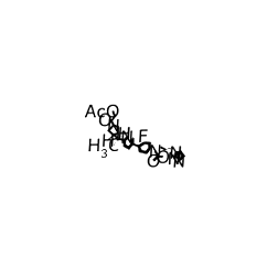 CC(=O)OCC(=O)N1C[C@@H]2[C@H](C1)[C@@]2(C)c1ccc(-c2ccc(N3C[C@H](Cn4ccnn4)OC3=O)cc2F)cn1